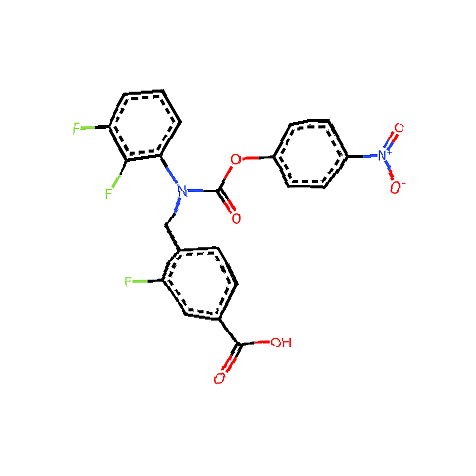 O=C(O)c1ccc(CN(C(=O)Oc2ccc([N+](=O)[O-])cc2)c2cccc(F)c2F)c(F)c1